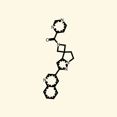 O=C(c1ccncn1)N1CC2(CCn3nc(-c4cnc5ccccc5c4)cc32)C1